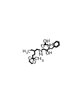 CCC(CCC1(C)OCCO1)CNC[C@H](O)[C@H](Cc1ccccc1)NC(=O)O